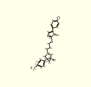 Cn1c(-c2ccc(Cl)cc2)cnc1SCCCN1C[C@@H]2C[C@]2(c2ccc(C(F)(F)F)cc2)C1